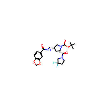 CC(C)(C)OC(=O)N1C[C@@H](CNC(=O)c2ccc3c(c2)OCO3)C[C@H]1C(=O)N1CCC(F)(F)C1